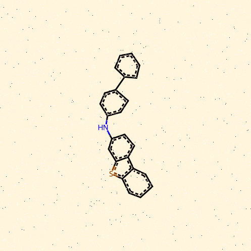 c1ccc(-c2ccc(Nc3ccc4c(c3)sc3ccccc34)cc2)cc1